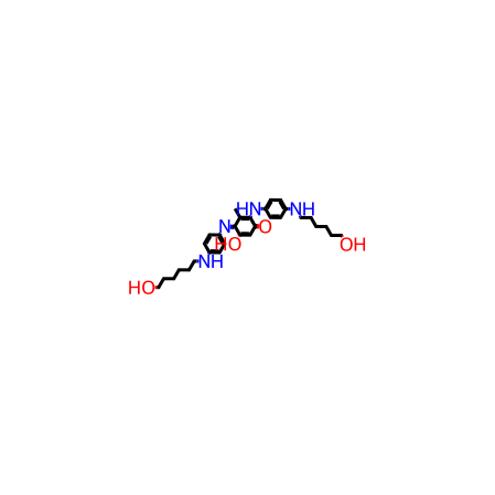 CC1=C(Nc2ccc(NCCCCCCO)cc2)C(=O)C=C(O)C1=Nc1ccc(NCCCCCCO)cc1